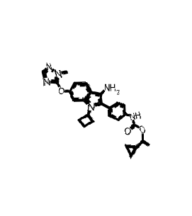 CC(OC(=O)Nc1ccc(-c2c(N)c3ccc(Oc4ncnn4C)cc3n2C2CCC2)cc1)C1CC1